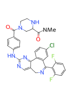 CNC(=O)C1CN(C(=O)c2ccc(Nc3ncc4c(n3)-c3ccc(Cl)cc3C(c3c(F)cccc3F)=NC4)cc2)CCN1